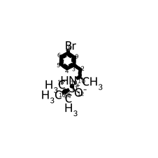 C[C@H](Cc1cccc(Br)c1)N[S@+]([O-])C(C)(C)C